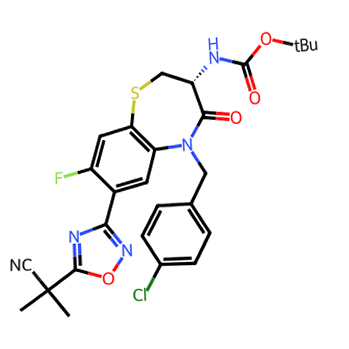 CC(C)(C)OC(=O)N[C@H]1CSc2cc(F)c(-c3noc(C(C)(C)C#N)n3)cc2N(Cc2ccc(Cl)cc2)C1=O